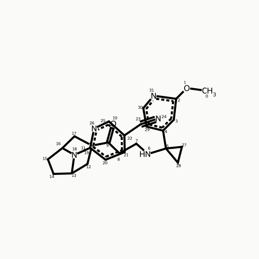 COc1cc(C2(NCCC(=O)N3CC4CCC(C3)N4c3ccc(C#N)cn3)CC2)ccn1